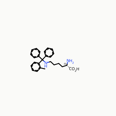 Cc1ccccc1C(NCCCC[C@H](N)C(=O)O)(c1ccccc1)c1ccccc1